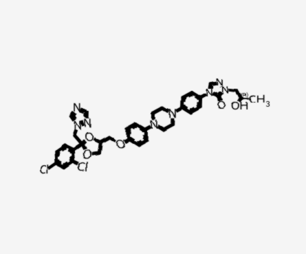 C[C@@H](O)Cn1ncn(-c2ccc(N3CCN(c4ccc(OCC5COC(Cn6cncn6)(c6ccc(Cl)cc6Cl)O5)cc4)CC3)cc2)c1=O